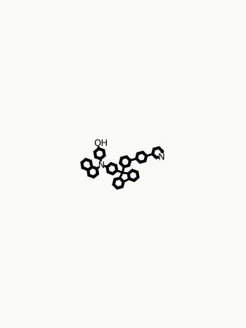 Oc1ccc(N(c2ccc(C3(c4cccc(-c5ccc(-c6cccnc6)cc5)c4)c4ccccc4-c4ccccc43)cc2)c2cccc3ccccc23)cc1